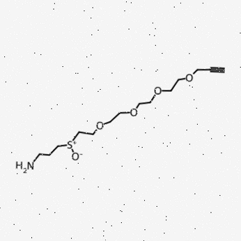 C#CCOCCOCCOCCOCC[S+]([O-])CCCN